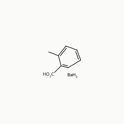 Cc1ccccc1C(=O)O.[BaH2]